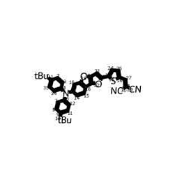 CC(C)(C)c1ccc(N(c2ccc(C(C)(C)C)cc2)c2ccc3c(c2)oc2cc(-c4ccc(C=C(C#N)C#N)s4)oc23)cc1